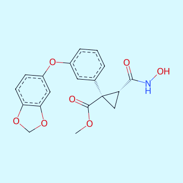 COC(=O)[C@]1(c2cccc(Oc3ccc4c(c3)OCO4)c2)C[C@H]1C(=O)NO